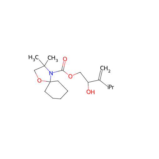 C=C(C(C)C)C(O)COC(=O)N1C(C)(C)COC12CCCCC2